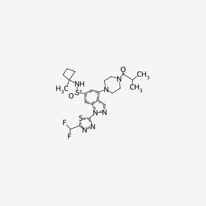 CC(C)C(=O)N1CCN(c2cc([S+]([O-])NC3(C)CCC3)cc3c2cnn3-c2nnc(C(F)F)s2)CC1